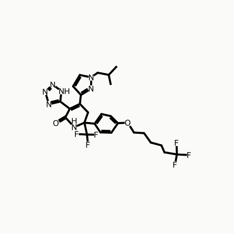 CC(C)Cn1ccc(C2=C(c3nnn[nH]3)C(=O)NC(c3ccc(OCCCCCC(F)(F)F)cc3)(C(F)(F)F)C2)n1